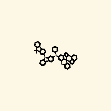 CC1(C)c2ccccc2-c2ccc(-n3c4ccccc4c4ccc(N(c5ccccc5)c5ccc6c(c5)Sc5ccccc5C65c6ccccc6-c6cccc7cccc5c67)cc43)cc21